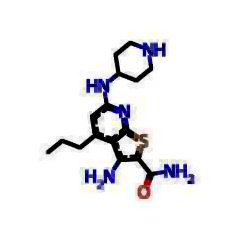 CCCc1cc(NC2CCNCC2)nc2sc(C(N)=O)c(N)c12